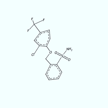 NS(=O)(=O)c1ccccc1COc1ccc(C(F)(F)F)cc1Cl